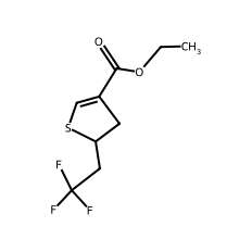 CCOC(=O)C1=CSC(CC(F)(F)F)C1